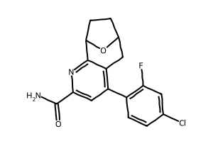 NC(=O)c1cc(-c2ccc(Cl)cc2F)c2c(n1)C1CCC(C2)O1